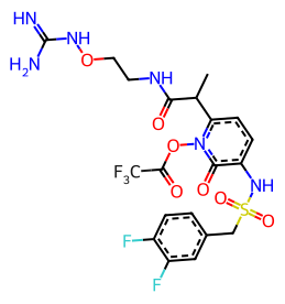 CC(C(=O)NCCONC(=N)N)c1ccc(NS(=O)(=O)Cc2ccc(F)c(F)c2)c(=O)n1OC(=O)C(F)(F)F